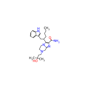 CCCCC(Cc1c[nH]c2ccccc12)c1c(C(N)=O)nc2n1CCN(CCC(C)(C)O)C2